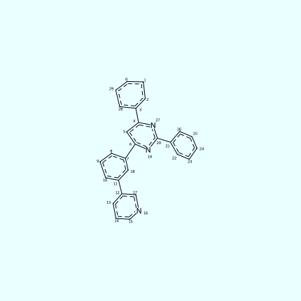 c1ccc(-c2cc(-c3cccc(-c4cccnc4)c3)nc(-c3ccccc3)n2)cc1